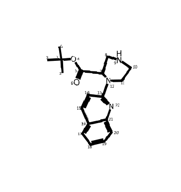 CC(C)(C)OC(=O)C1CNCCN1c1ccc2ccccc2n1